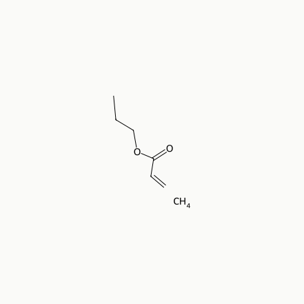 C.C=CC(=O)OCCC